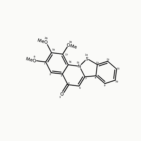 COc1cc2c(=O)cc3c4ccccc4sn3c2c(OC)c1OC